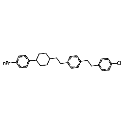 CCCc1ccc(C2CCC(CCc3ccc(CCc4ccc(Cl)cc4)cc3)CC2)cc1